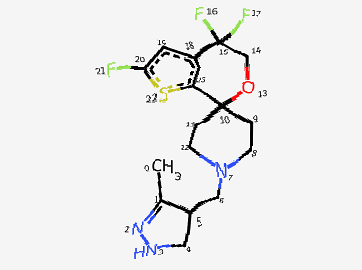 CC1=NNCC1CN1CCC2(CC1)OCC(F)(F)c1cc(F)sc12